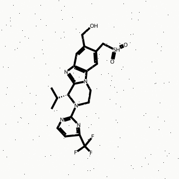 CC(C)[C@@H]1c2nc3cc(CO)c(C[SH](=O)=O)cc3n2CCN1c1nccc(C(F)(F)F)n1